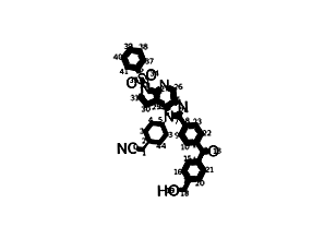 N#CC[C@H]1CC[C@H](n2c(-c3ccc(C(=O)c4ccc(CO)cc4)cc3)nc3cnc4c(ccn4S(=O)(=O)c4ccccc4)c32)CC1